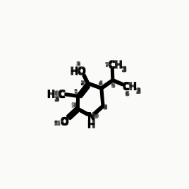 CC1=C(O)C(C(C)C)CNC1=O